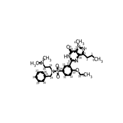 CCCc1nn(C)c2c(=O)[nH]c(-c3cc(S(=O)(=O)N(CCN(C)C)Cc4ccccc4)ccc3OCC)nc12